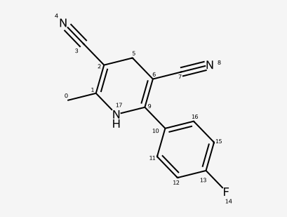 CC1=C(C#N)CC(C#N)=C(c2ccc(F)cc2)N1